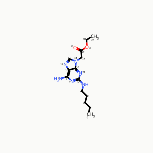 CCCCCNc1nc(N)c2ncn(CC(=O)OCC)c2n1